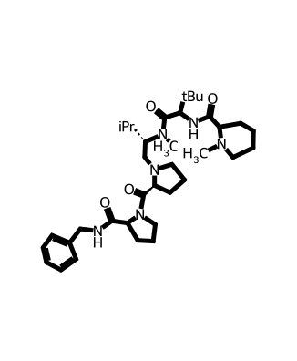 CC(C)[C@@H](CN1CCC[C@H]1C(=O)N1CCCC1C(=O)NCc1ccccc1)N(C)C(=O)C(NC(=O)C1CCCCN1C)C(C)(C)C